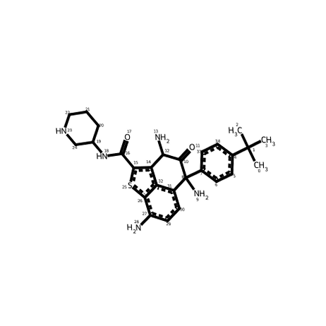 CC(C)(C)c1ccc(C2(N)C(=O)C(N)c3c(C(=O)NC4CCCNC4)sc4c(N)ccc2c34)cc1